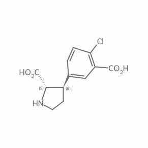 O=C(O)c1cc([C@H]2CCN[C@@H]2C(=O)O)ccc1Cl